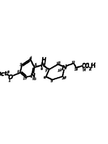 CCCCCCCCOc1ccc(NC2CCCN(CCC(=O)O)C2)nc1